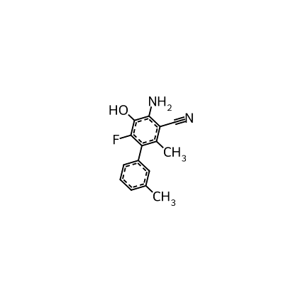 Cc1cccc(-c2c(C)c(C#N)c(N)c(O)c2F)c1